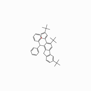 CC(C)(C)C1=CCC(c2c(C(C)(C)C)cc3c(c2C(c2ccccc2)c2ccccc2)Cc2ccc(C(C)(C)C)cc2-3)=C1